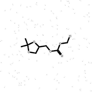 CC1(C)OCC(COC(=O)OCCl)O1